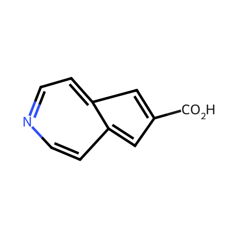 O=C(O)c1cc2ccnccc-2c1